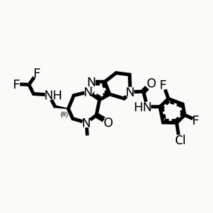 CN1C[C@@H](CNCC(F)F)Cn2nc3c(c2C1=O)CN(C(=O)Nc1cc(Cl)c(F)cc1F)CC3